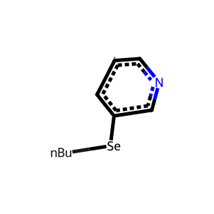 CCCC[Se]c1c[c]cnc1